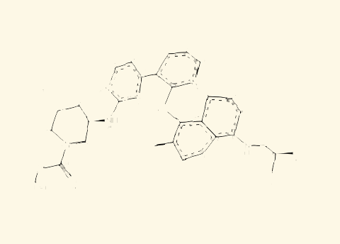 Cc1ccc2c(NC[C@H](O)C(F)(F)F)cccc2c1Oc1ncccc1-c1ccnc(N[C@@H]2C[C@@H](F)CN(C(=O)OC(C)(C)C)C2)n1